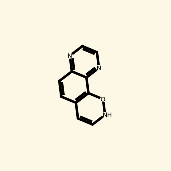 C1=Cc2ccc3nccnc3c2ON1